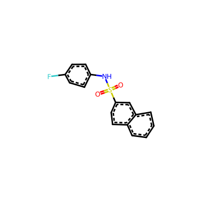 O=S(=O)(Nc1ccc(F)cc1)c1ccc2ccccc2c1